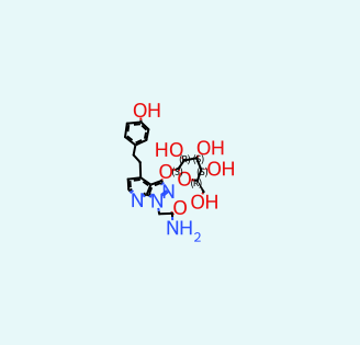 NC(=O)Cn1nc(O[C@@H]2O[C@H](CO)[C@@H](O)[C@H](O)[C@H]2O)c2c(CCc3ccc(O)cc3)ccnc21